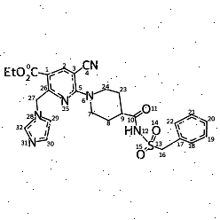 CCOC(=O)c1cc(C#N)c(N2CCC(C(=O)NS(=O)(=O)Cc3ccccc3)CC2)nc1Cn1ccnc1